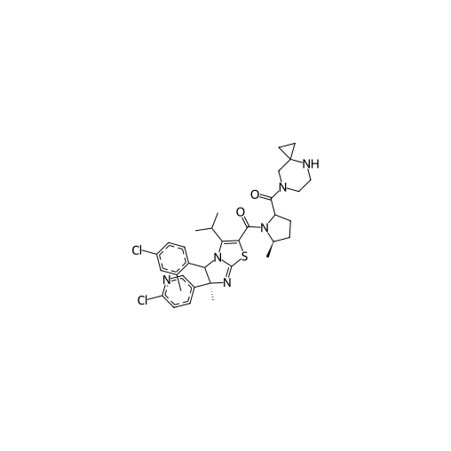 Cc1cc(Cl)ccc1C1N2C(=N[C@@]1(C)c1ccc(Cl)nc1)SC(C(=O)N1C(C(=O)N3CCNC4(CC4)C3)CC[C@H]1C)=C2C(C)C